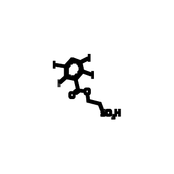 O=C(OCCS(=O)(=O)O)c1c(I)c(I)cc(I)c1I